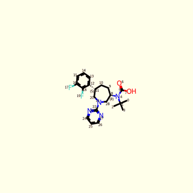 CC(C)(C)N(C(=O)O)[C@@H]1CC[C@@H](c2cccc(F)c2F)CN(c2ncccn2)C1